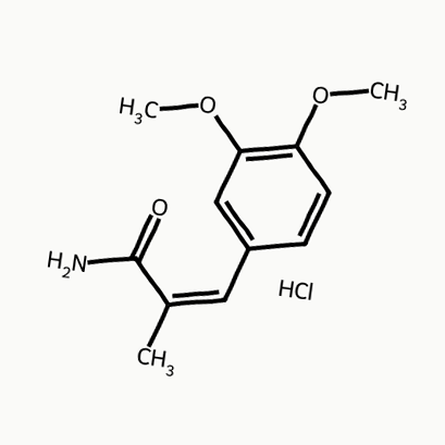 COc1ccc(C=C(C)C(N)=O)cc1OC.Cl